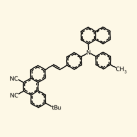 Cc1ccc(N(c2ccc(C=Cc3ccc4c(C#N)c(C#N)c5ccc(C(C)(C)C)cc5c4c3)cc2)c2cccc3ccccc23)cc1